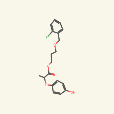 CC(Oc1ccc(O)cc1)C(=O)OCCCOCc1ccccc1F